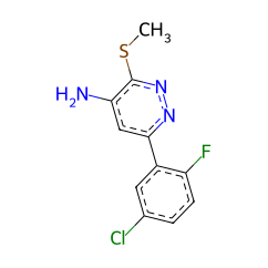 CSc1nnc(-c2cc(Cl)ccc2F)cc1N